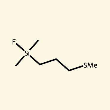 CSCCC[Si](C)(C)F